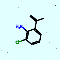 C=C(C)c1cccc(Cl)c1N